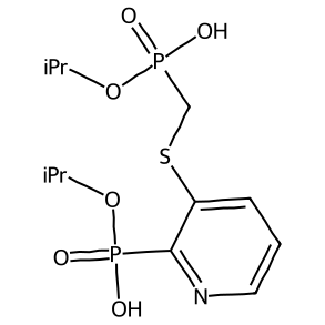 CC(C)OP(=O)(O)CSc1cccnc1P(=O)(O)OC(C)C